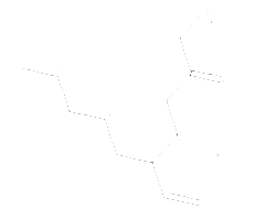 C=CC(CCCCCl)[C@@H](O)CC(=O)CBr